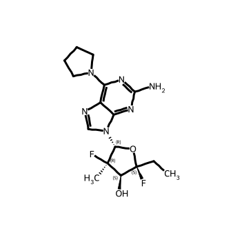 CC[C@@]1(F)O[C@@H](n2cnc3c(N4CCCC4)nc(N)nc32)[C@](C)(F)[C@@H]1O